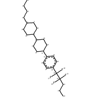 CCCCC1CCC(C2CCC(c3ccc(C(F)(F)C(F)(F)CCC)cc3)CC2)CC1